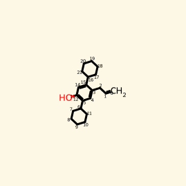 C=CCc1cc(C2CCCCC2)c(O)cc1C1CCCCC1